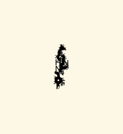 Fc1ccc(-c2c[nH]c(-c3ccnc(N4CCN(CC5CC5)CC4)c3)n2)cc1F